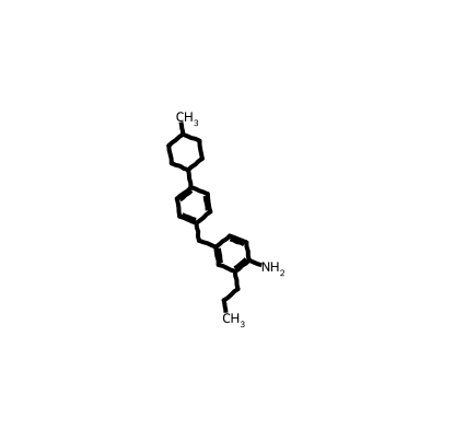 CCCc1cc(Cc2ccc(C3CCC(C)CC3)cc2)ccc1N